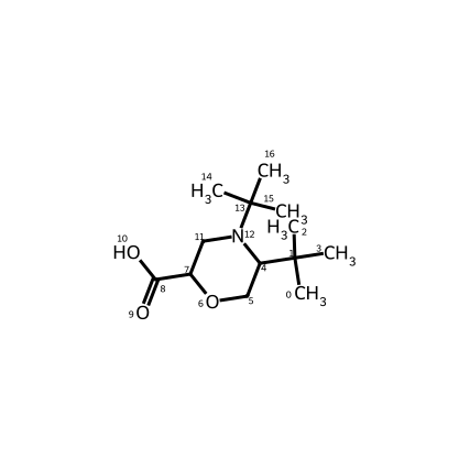 CC(C)(C)C1COC(C(=O)O)CN1C(C)(C)C